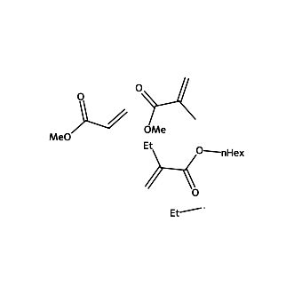 C=C(C)C(=O)OC.C=C(CC)C(=O)OCCCCCC.C=CC(=O)OC.[CH2]CC